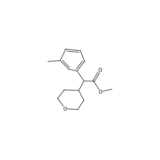 COC(=O)C(c1cccc(C)c1)C1CCOCC1